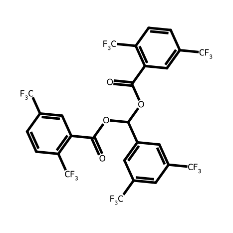 O=C(OC(OC(=O)c1cc(C(F)(F)F)ccc1C(F)(F)F)c1cc(C(F)(F)F)cc(C(F)(F)F)c1)c1cc(C(F)(F)F)ccc1C(F)(F)F